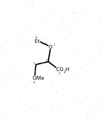 CCOC(COC)C(=O)O